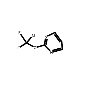 FC(F)(Cl)Oc1ncccn1